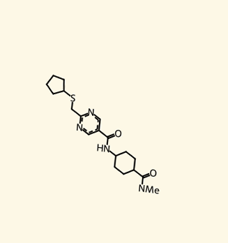 CNC(=O)C1CCC(NC(=O)c2cnc(CSC3CCCC3)nc2)CC1